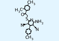 Cc1ccc(-c2c(C#N)c(N)nc(SCC(=O)c3ccc(C)cc3C)c2C#N)cc1